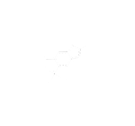 Cc1nc2cc(Cl)c(C(C)(C)C)cc2s1